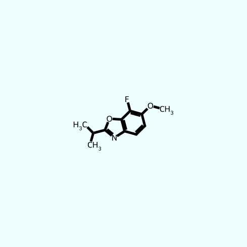 COc1ccc2nc(C(C)C)oc2c1F